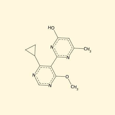 COc1ncnc(C2CC2)c1-c1nc(C)cc(O)n1